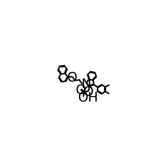 Cc1ccc(-c2c(OC(=O)O)n(CCCOc3cccc4ccccc34)c3ccccc23)cc1C